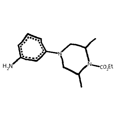 CCOC(=O)N1C(C)CN(c2cccc(N)c2)CC1C